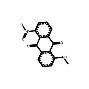 CNc1cccc2c1C(=O)c1cccc([N+](=O)[O-])c1C2=O